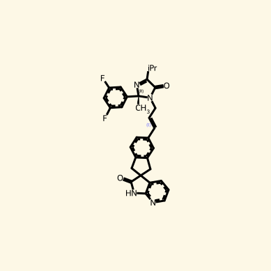 CC(C)C1=N[C@@](C)(c2cc(F)cc(F)c2)N(C/C=C/c2ccc3c(c2)CC2(C3)C(=O)Nc3ncccc32)C1=O